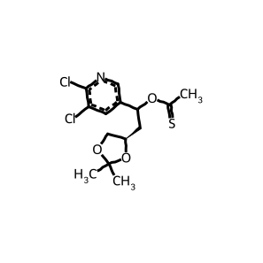 CC(=S)OC(C[C@@H]1COC(C)(C)O1)c1cnc(Cl)c(Cl)c1